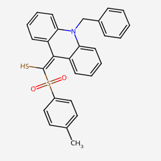 Cc1ccc(S(=O)(=O)C(S)=C2c3ccccc3N(Cc3ccccc3)c3ccccc32)cc1